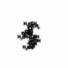 COC(=O)[C@H](C)NP(=O)(OC[C@H]1O[C@@](C#N)(c2ccc3c(N)ncnn23)[C@H](O)[C@@H]1O)Oc1ccc(C(C)(C)C)cc1